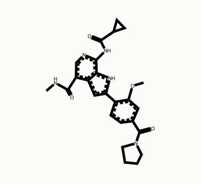 CNC(=O)c1cnc(NC(=O)C2CC2)c2[nH]c(-c3ccc(C(=O)N4CCCC4)cc3OC)cc12